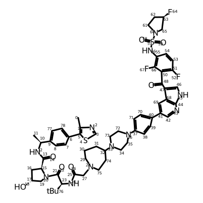 Cc1ncsc1-c1ccc([C@H](C)NC(=O)[C@@H]2C[C@@H](O)CN2C(=O)[C@@H](NC(=O)CN2CCCC(N3CCN(c4ccc(-c5cnc6[nH]cc(C(=O)c7c(F)ccc(NS(=O)(=O)N8CC[C@@H](F)C8)c7F)c6c5)cc4)CC3)CC2)C(C)(C)C)cc1